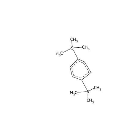 CS(C)(C)c1ccc(S(C)(C)C)cc1